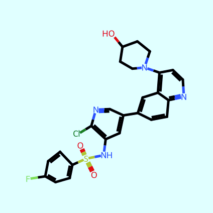 O=S(=O)(Nc1cc(-c2ccc3nccc(N4CCC(O)CC4)c3c2)cnc1Cl)c1ccc(F)cc1